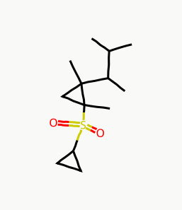 CC(C)C(C)C1(C)CC1(C)S(=O)(=O)C1CC1